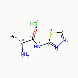 CC(C)[C@@H](N)C(=O)Nc1nncs1.Cl